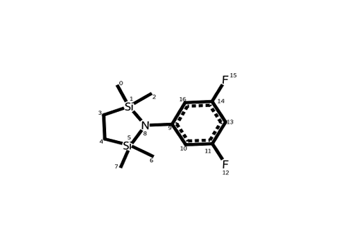 C[Si]1(C)CC[Si](C)(C)N1c1cc(F)cc(F)c1